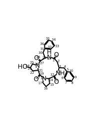 O=C1CC(Cc2ccccc2)NC(=O)C2CCCN2C(=O)C2CC(O)CN2C(=O)C(Cc2ccccc2)N1